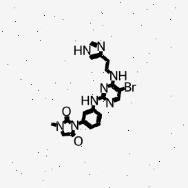 CN1CC(=O)N(c2cccc(Nc3ncc(Br)c(NCCc4c[nH]cn4)n3)c2)C1=O